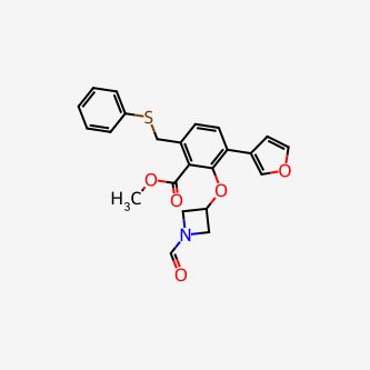 COC(=O)c1c(CSc2ccccc2)ccc(-c2ccoc2)c1OC1CN(C=O)C1